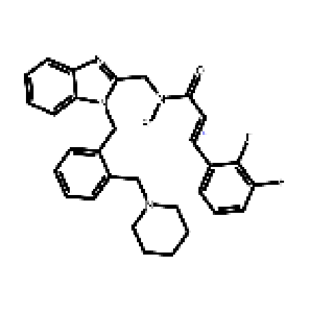 CC(C)N(Cc1nc2ccccc2n1Cc1ccccc1CN1CCCCC1)C(=O)/C=C/c1cccc(F)c1F